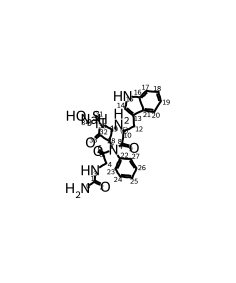 NC(=O)NCC(=O)[N+](C(=O)[C@@H](N)Cc1c[nH]c2ccccc12)(c1ccccc1)C1CN(S(=O)(=O)O)C1=O.[NaH]